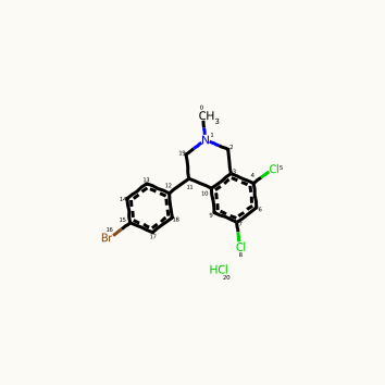 CN1Cc2c(Cl)cc(Cl)cc2C(c2ccc(Br)cc2)C1.Cl